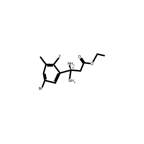 CCOC(=O)C[C@](N)([SiH3])c1cc(Br)cc(C)c1F